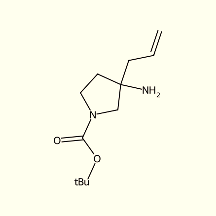 C=CCC1(N)CCN(C(=O)OC(C)(C)C)C1